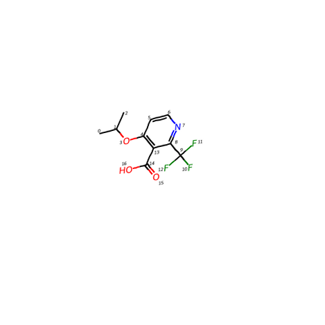 CC(C)Oc1ccnc(C(F)(F)F)c1C(=O)O